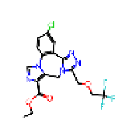 CCOC(=O)c1ncn2c1Cn1c(COCC(F)(F)F)nnc1-c1cc(Cl)ccc1-2